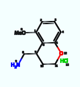 COc1cccc2c1C(CN)CCO2.Cl